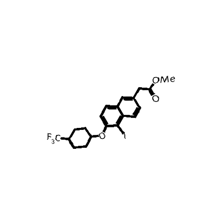 COC(=O)Cc1ccc2c(I)c(OC3CCC(C(F)(F)F)CC3)ccc2c1